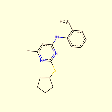 Cc1cc(Nc2ccccc2C(=O)O)nc(SC2CCCC2)n1